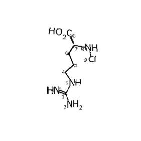 N=C(N)NCCC[C@H](NCl)C(=O)O